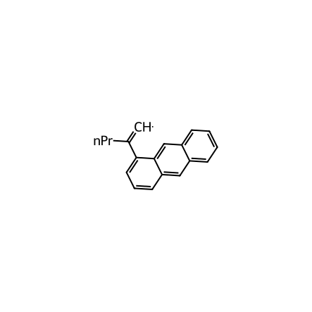 [CH]=C(CCC)c1cccc2cc3ccccc3cc12